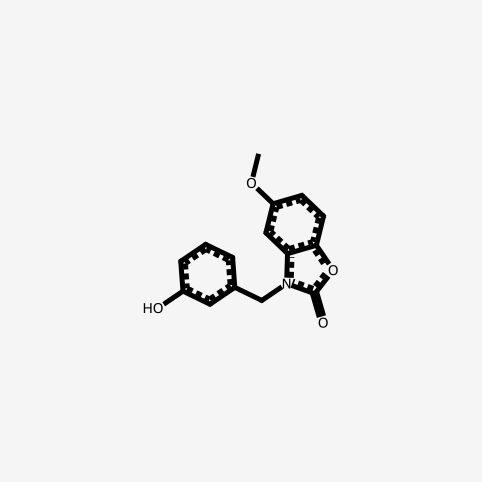 COc1ccc2oc(=O)n(Cc3cccc(O)c3)c2c1